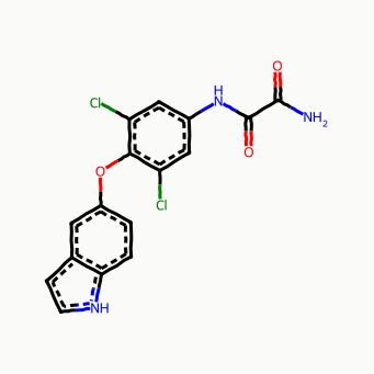 NC(=O)C(=O)Nc1cc(Cl)c(Oc2ccc3[nH]ccc3c2)c(Cl)c1